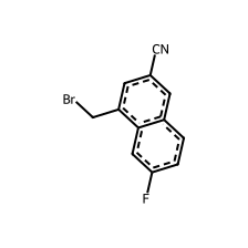 N#Cc1cc(CBr)c2cc(F)ccc2c1